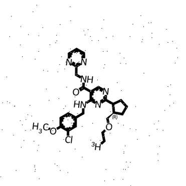 [3H]CCOC[C@@H]1CCCC1c1ncc(C(=O)NCc2ncccn2)c(NCc2ccc(OC)c(Cl)c2)n1